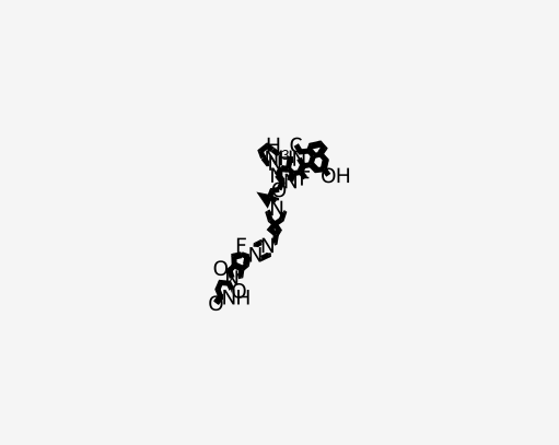 CCc1cccc2cc(O)cc(-c3ncc4c(N5CC6CCC(C5)N6)nc(OCC5(CN6CCC7(CC6)CC(CN6CCN(c8cc9c(cc8F)C(=O)N([C@H]8CCC(=O)NC8=O)C9)CC6)C7)CC5)nc4c3F)c12